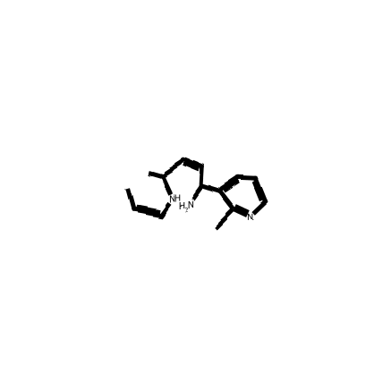 C/C=C\NC(C)/C=C\C(N)c1cccnc1C